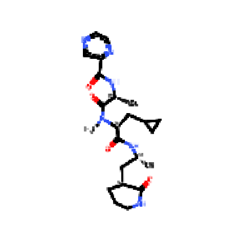 CN(C(=O)[C@@H](NC(=O)c1cnccn1)C(C)(C)C)[C@@H](CC1CC1)C(=O)N[C@H](C#N)C[C@@H]1CCCNC1=O